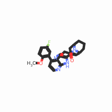 COc1ccc(F)cc1-c1ccnc2[nH]c(C3=CC4CCCC(C3)N4C(=O)CC#N)cc12